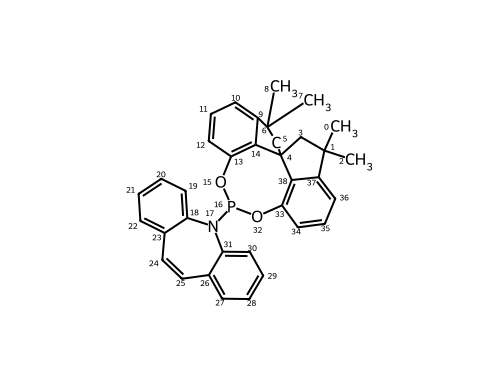 CC1(C)CC23CC(C)(C)c4cccc(c42)OP(N2c4ccccc4C=Cc4ccccc42)Oc2cccc1c23